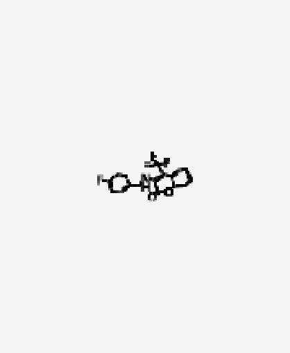 O=c1oc2ccccc2c(C(F)(F)F)c1NCc1ccc(F)cc1